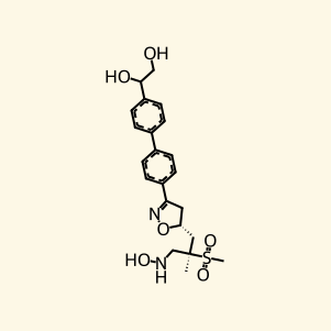 C[C@](CNO)(C[C@H]1CC(c2ccc(-c3ccc(C(O)CO)cc3)cc2)=NO1)S(C)(=O)=O